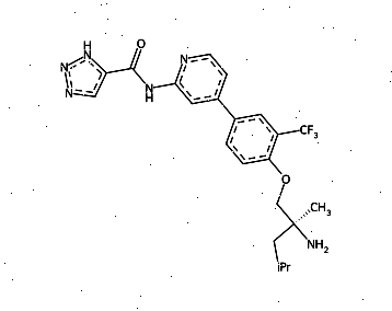 CC(C)C[C@](C)(N)COc1ccc(-c2ccnc(NC(=O)c3cnn[nH]3)c2)cc1C(F)(F)F